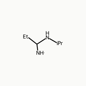 CCC([NH])NC(C)C